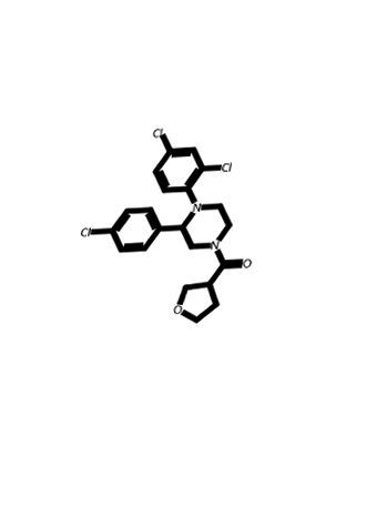 O=C(C1CCOC1)N1CCN(c2ccc(Cl)cc2Cl)C(c2ccc(Cl)cc2)C1